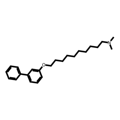 CN(C)CCCCCCCCCCOc1cccc(-c2ccccc2)c1